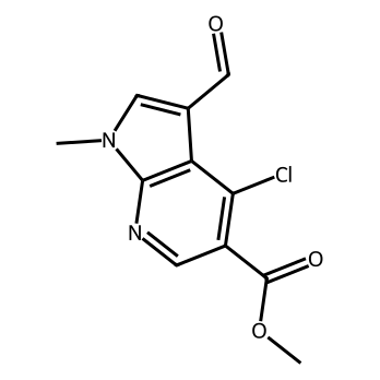 COC(=O)c1cnc2c(c(C=O)cn2C)c1Cl